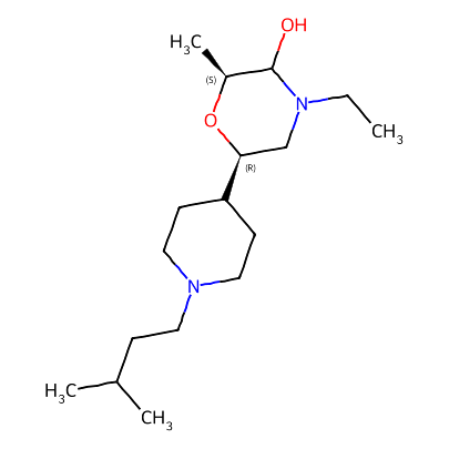 CCN1C[C@@H](C2CCN(CCC(C)C)CC2)O[C@@H](C)C1O